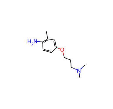 Cc1cc(OCCCN(C)C)ccc1N